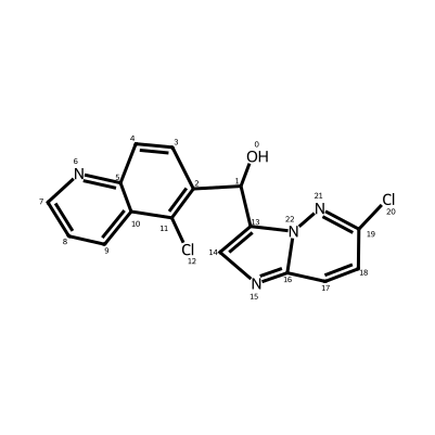 OC(c1ccc2ncccc2c1Cl)c1cnc2ccc(Cl)nn12